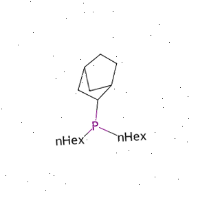 CCCCCCP(CCCCCC)C1CC2CCC1C2